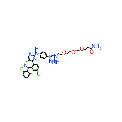 N=N/C(=C\NCCOCCOCCOCCC(N)=O)c1ccc(Nc2ncc3c(n2)-c2ccc(Cl)cc2C(c2c(F)cccc2F)=NC3)cc1